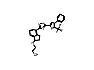 OCCNC1CCc2c(-c3noc(-c4cc(-c5ccccc5)c(C(F)(F)F)s4)n3)cccc21